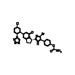 NC(=O)Oc1ccc(-c2[nH]c([C@@H]3CCc4cc(-c5cc(Cl)ccc5-n5cnnn5)cc(=O)n43)nc2Br)cc1